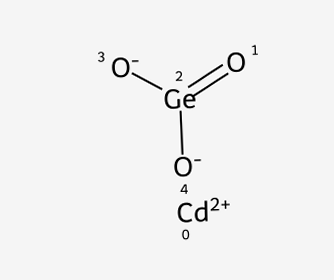 [Cd+2].[O]=[Ge]([O-])[O-]